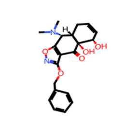 CN(C)[C@@H]1c2onc(OCc3ccccc3)c2C(=O)[C@@]2(O)[C@H](O)C=CC[C@@H]12